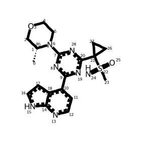 C[C@@H]1COCCN1c1nc(-c2ccnc3[nH]ccc23)nc(C2(S(C)(=N)=O)CC2)n1